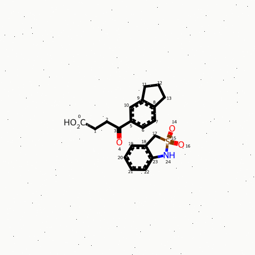 O=C(O)CCC(=O)c1ccc2c(c1)CCC2.O=S1(=O)Cc2ccccc2N1